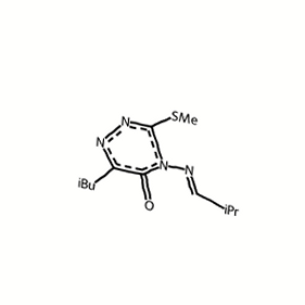 CCC(C)c1nnc(SC)n(N=CC(C)C)c1=O